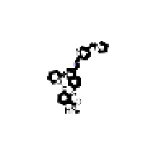 CNC(=O)c1cccc(F)c1Sc1ccc2c(/C=C/c3ccc(CN4CCCC4)cn3)cn(C3CCCCO3)c2c1